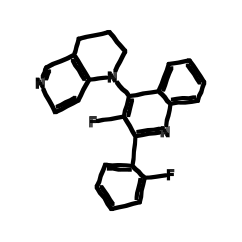 Fc1ccccc1-c1nc2ccccc2c(N2CCCc3cnccc32)c1F